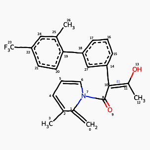 C=C1C(C)=CC=CN1C(=O)/C(=C(\C)O)c1cccc(-c2ccc(C(F)(F)F)cc2C)c1